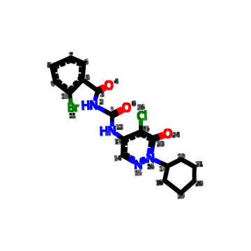 O=C(NC(=O)c1ccccc1Br)Nc1cnn(C2CCCCC2)c(=O)c1Cl